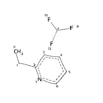 CCc1ccccn1.FC(F)F